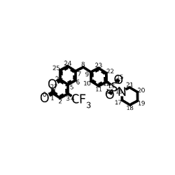 O=c1cc(C(F)(F)F)c2cc(Cc3ccc(S(=O)(=O)N4CCCCC4)cc3)ccc2o1